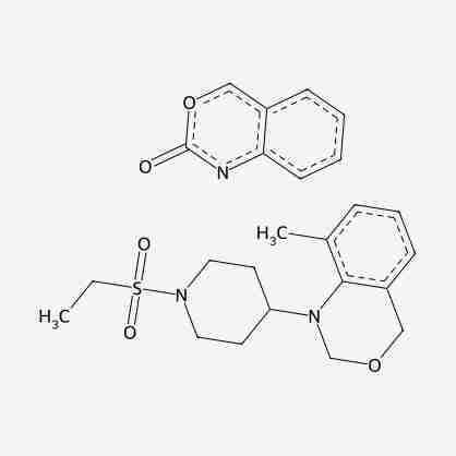 CCS(=O)(=O)N1CCC(N2COCc3cccc(C)c32)CC1.O=c1nc2ccccc2co1